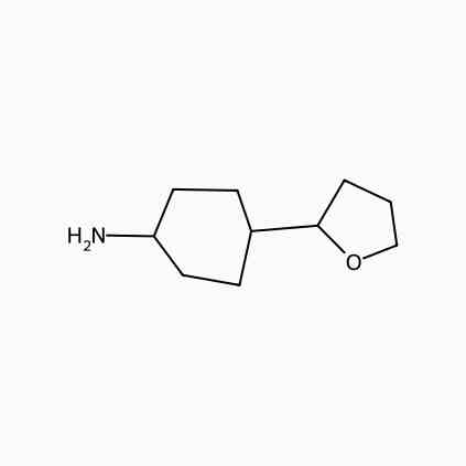 NC1CCC(C2CCCO2)CC1